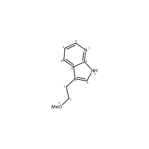 COCCc1c[nH]c2ncccc12